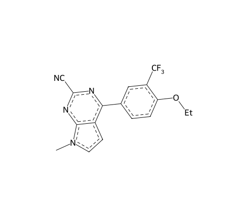 CCOc1ccc(-c2nc(C#N)nc3c2ccn3C)cc1C(F)(F)F